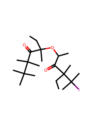 CCC(C)(OC(C)C(=O)C(C)(CC)C(C)(C)I)C(=O)C(C)(C)C(C)(C)C